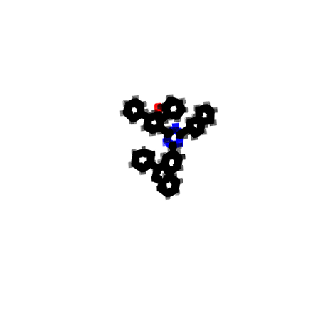 c1ccc(-c2cc3ccccc3c3ccc(-c4nc(-c5ccc6ccccc6c5)nc(-c5ccc(-c6ccccc6)c6oc7ccccc7c56)n4)cc23)cc1